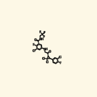 O=C(NCC(F)(F)F)c1cc(NCC(=O)C2C(c3ccc(F)c(Cl)c3)C2(Cl)Cl)cc(Cl)c1F